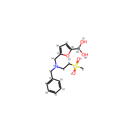 CS(=O)(=O)CCN(Cc1ccccc1)Cc1ccc(B(O)O)o1